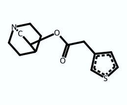 O=C(Cc1ccsc1)OC1CN2CCC1CC2